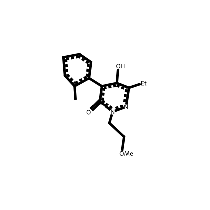 CCc1nn(CCOC)c(=O)c(-c2ccccc2C)c1O